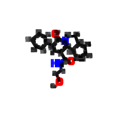 COCCNC(=O)c1cc(-c2ccccc2)c(=O)n2c1-c1ccccc1CC2